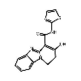 O=C(Nc1nccs1)C1=C(O)CCn2c1nc1ccccc12